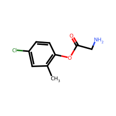 Cc1cc(Cl)ccc1OC(=O)CN